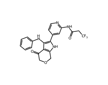 O=C(CC(F)(F)F)Nc1cc(-c2[nH]c3c(c2Nc2ccccc2)C(=O)COC3)ccn1